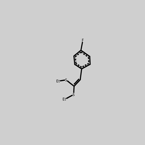 CCSC(=Cc1ccc(F)cc1)SCC